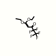 CCOC(=CC(=O)C(F)(F)C(F)(F)F)OCC